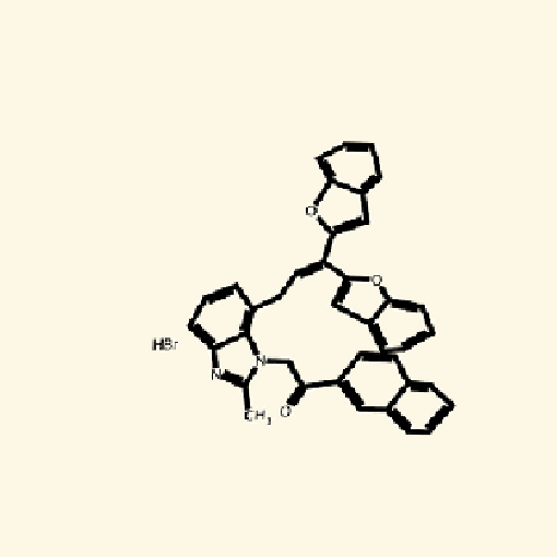 Br.Cc1nc2cccc(CC=C(c3cc4ccccc4o3)c3cc4ccccc4o3)c2n1CC(=O)c1ccc2ccccc2c1